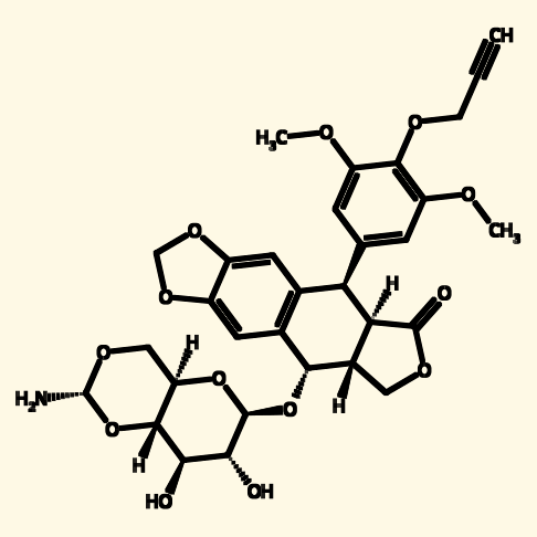 C#CCOc1c(OC)cc([C@@H]2c3cc4c(cc3[C@@H](O[C@@H]3O[C@@H]5CO[C@@H](N)O[C@H]5[C@H](O)[C@H]3O)[C@H]3COC(=O)[C@H]23)OCO4)cc1OC